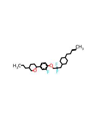 C/C=C/CCC1CCC(CC(F)(F)COc2ccc(C3CCC(CCC)CO3)cc2F)CC1